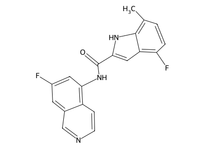 Cc1ccc(F)c2cc(C(=O)Nc3cc(F)cc4cnccc34)[nH]c12